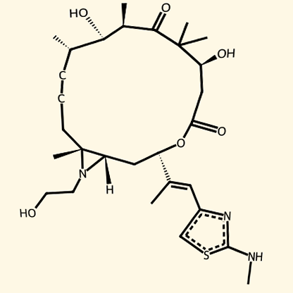 CNc1nc(/C=C(\C)[C@@H]2C[C@@H]3N(CCO)[C@]3(C)CCC[C@H](C)[C@H](O)[C@@H](C)C(=O)C(C)(C)[C@@H](O)CC(=O)O2)cs1